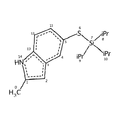 Cc1cc2cc(S[Si](C(C)C)(C(C)C)C(C)C)ccc2[nH]1